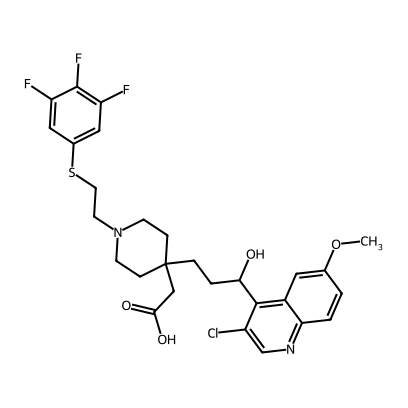 COc1ccc2ncc(Cl)c(C(O)CCC3(CC(=O)O)CCN(CCSc4cc(F)c(F)c(F)c4)CC3)c2c1